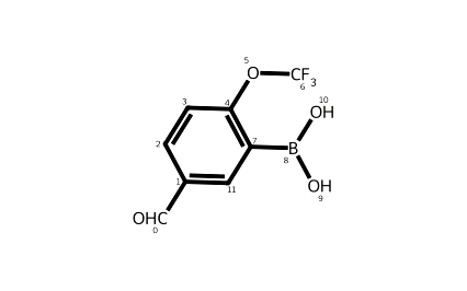 O=Cc1ccc(OC(F)(F)F)c(B(O)O)c1